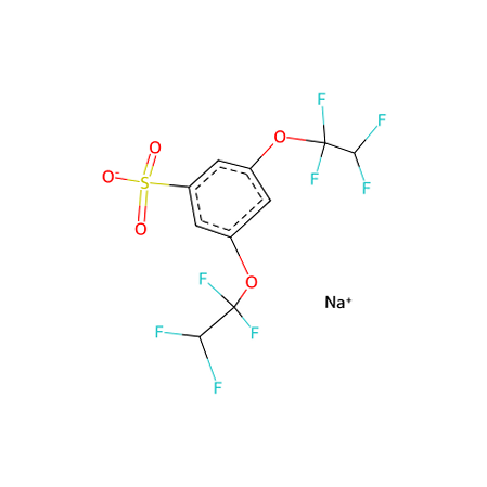 O=S(=O)([O-])c1cc(OC(F)(F)C(F)F)cc(OC(F)(F)C(F)F)c1.[Na+]